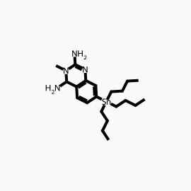 CCC[CH2][Sn]([CH2]CCC)([CH2]CCC)[c]1ccc2c(c1)N=C(N)N(C)C2N